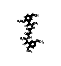 COc1ccc(OC)c(C(=S)N(C)NC(=O)CC(=O)NN(C)C(=S)c2cc(CO)ccc2OC)c1